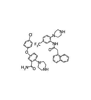 NC(=O)c1cc(Oc2ccc(Cl)cc2)ccc1N1CCNCC1.O=C(Cc1cccc2ccccc12)Nc1cc(C(F)(F)F)ccc1N1CCNCC1